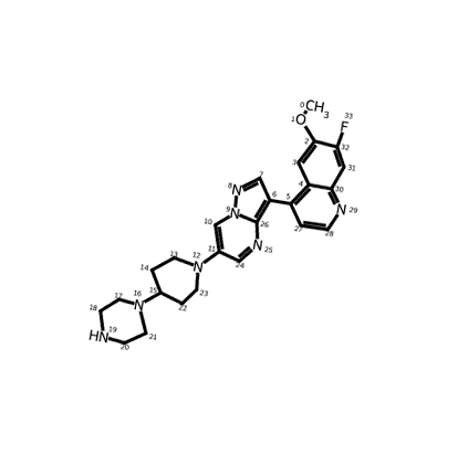 COc1cc2c(-c3cnn4cc(N5CCC(N6CCNCC6)CC5)cnc34)ccnc2cc1F